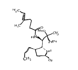 C/C=C\[C@@H]1C[C@H](C#N)N[C@H]1[C@@H](NC(=O)CC/C(C)=C/C)C(C)(CCC)OC